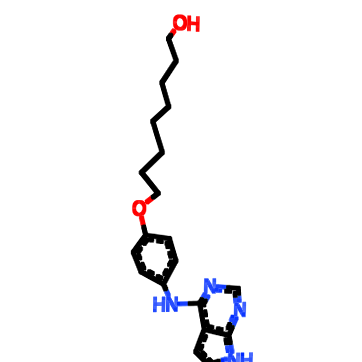 OCCCCCCCCOc1ccc(Nc2ncnc3[nH]ccc23)cc1